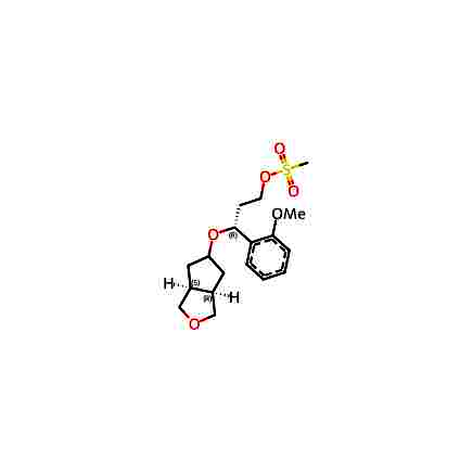 COc1ccccc1[C@@H](CCOS(C)(=O)=O)OC1C[C@H]2COC[C@H]2C1